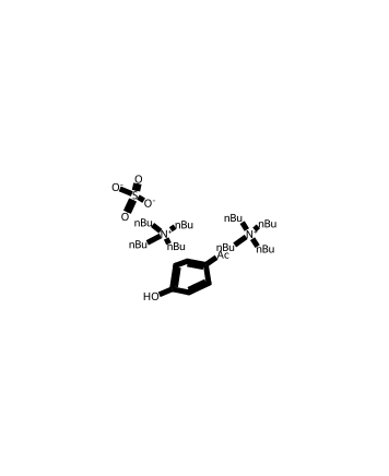 CC(=O)c1ccc(O)cc1.CCCC[N+](CCCC)(CCCC)CCCC.CCCC[N+](CCCC)(CCCC)CCCC.O=S(=O)([O-])[O-]